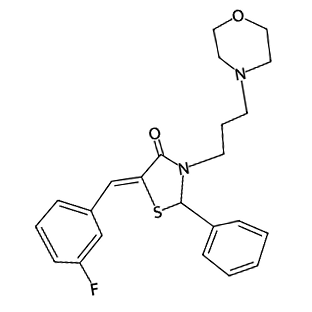 O=C1C(=Cc2cccc(F)c2)SC(c2ccccc2)N1CCCN1CCOCC1